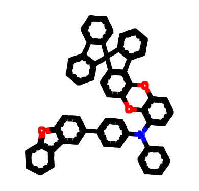 c1ccc(N(c2ccc(-c3ccc4oc5ccccc5c4c3)cc2)c2cccc3c2Oc2ccc4c(c2O3)-c2ccccc2C42c3ccccc3-c3ccccc32)cc1